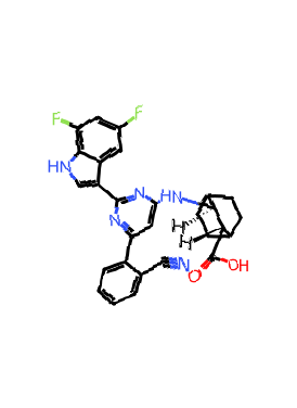 N#Cc1ccccc1-c1cc(N[C@H]2C3CCC(CC3)[C@@H]2C(=O)O)nc(-c2c[nH]c3c(F)cc(F)cc23)n1